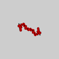 C1=CC(C2=CCCC3Cc4c(ccc5c(-c6cccc7c6C=CC6CC8C(=CC=CC8c8cccc9c8ccc8cc%10c(-c%11ccc(-c%12nc%13ccccc%13n%12-c%12cccc%13c%12ccc%12cc%14c(cc%12%13)C=CCC%14)cc%11)cccc%10cc89)C=C76)cccc45)C=C23)C2C=Cc3cc4c(-c5ccc(-c6nc7ccccc7n6-c6cccc7c6ccc6cc8ccccc8cc67)cc5)cccc4cc3C2=C1